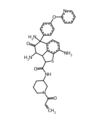 C=CC(=O)N1CCCC(NC(=O)C2Sc3c(N)ccc4c3C2C(N)C(=O)C4(N)c2ccc(Oc3ccccn3)cc2)C1